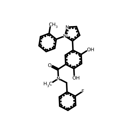 Cc1ccccc1-n1nccc1-c1cc(C(=O)N(C)Cc2ccccc2F)c(O)cc1O